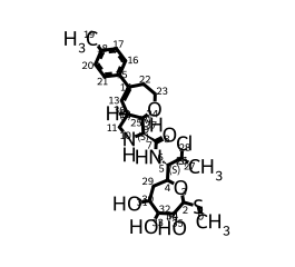 CSC1OC([C@H](NC(=O)[C@H]2NC[C@@H]3C=C(c4ccc(C)cc4)CCO[C@@H]23)[C@H](C)Cl)CC(O)C(O)[C@H]1O